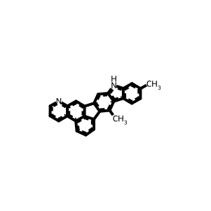 Cc1ccc2c(c1)[nH]c1cc3c(c(C)c12)-c1cccc2c1c-3cc1ncccc12